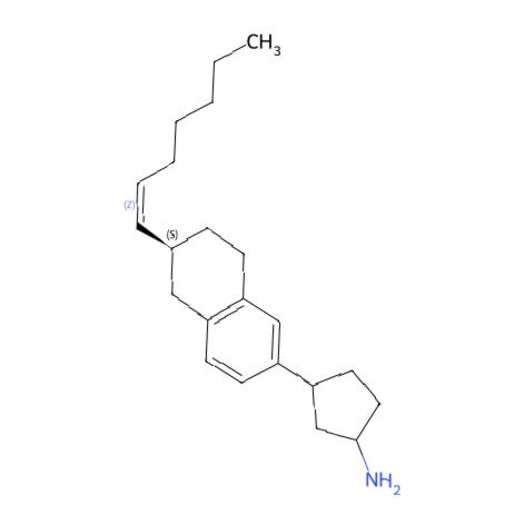 CCCCC/C=C\[C@H]1CCc2cc(C3CCC(N)C3)ccc2C1